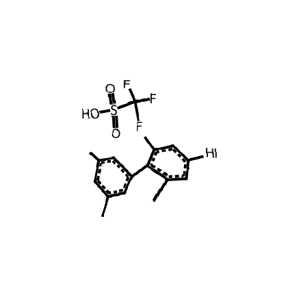 Cc1cc(C)cc(-c2c(C)cc(C)cc2C)c1.I.O=S(=O)(O)C(F)(F)F